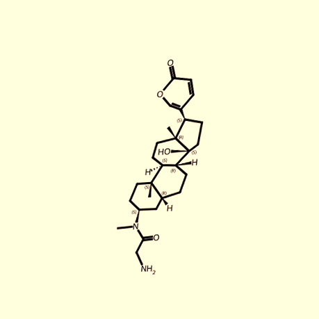 CN(C(=O)CN)[C@H]1CC[C@@]2(C)[C@H](CC[C@@H]3[C@@H]2CC[C@]2(C)[C@@H](c4ccc(=O)oc4)CC[C@]32O)C1